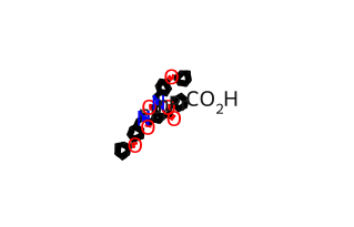 CCCN(Cc1ccc(Oc2ccccc2)cc1)C(=O)C1CC(C(=O)Oc2ccc(C(=O)O)cc2)C1C(=O)N(CCC)Cc1ccc(Oc2ccccc2)cc1